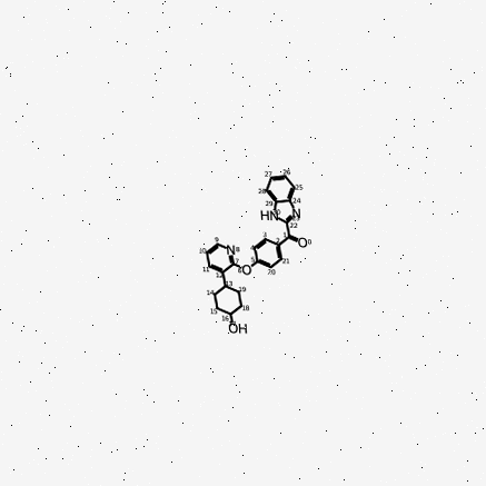 O=C(c1ccc(Oc2ncccc2C2CCC(O)CC2)cc1)c1nc2ccccc2[nH]1